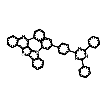 c1ccc(-c2nc(-c3ccccc3)nc(-c3ccc(-c4cccc(-n5c6ccccc6c6oc7c8ccccc8nc(-c8ccccc8)c7c65)c4)cc3)n2)cc1